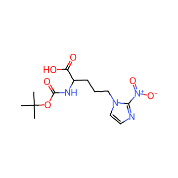 CC(C)(C)OC(=O)NC(CCCn1ccnc1[N+](=O)[O-])C(=O)O